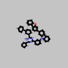 N/C(=N\C(=N/Cc1ccccc1)c1cccc(-n2c3ccccc3c3ccc(-c4ccc5c(c4)oc4ccccc45)cc32)c1)c1cccc(-c2ccccc2)c1